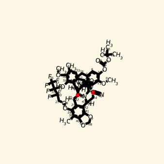 COc1cc2c(cc1OC(=O)OC(C)(C)C)CCN[C@]21CS[C@@H]2c3c(OOCC(F)(F)C(F)(F)C(F)(F)F)c(C)c4c(c3[C@H](COC1=O)N1C2[C@H]2c3c(cc(C)c(OC)c3O)C3[C@@H]([C@@H]1C#N)N32)OCO4